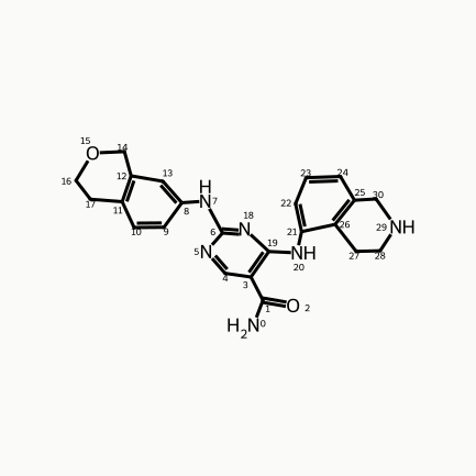 NC(=O)c1cnc(Nc2ccc3c(c2)COCC3)nc1Nc1cccc2c1CCNC2